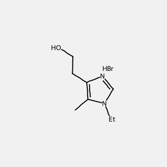 Br.CCn1cnc(CCO)c1C